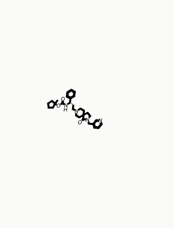 CC1(OC(=O)N[C@@H](CCN2CCC3(CC2)CCN(Cc2cccnc2)C3=O)c2ccccc2)CCCC1